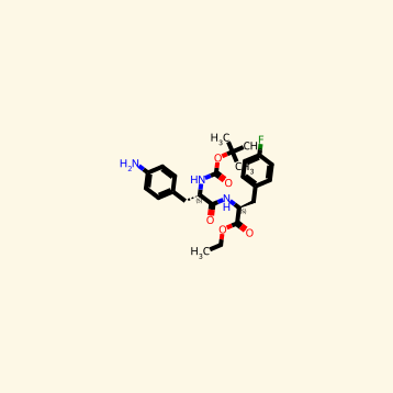 CCOC(=O)[C@H](Cc1ccc(F)cc1)NC(=O)[C@H](Cc1ccc(N)cc1)NC(=O)OC(C)(C)C